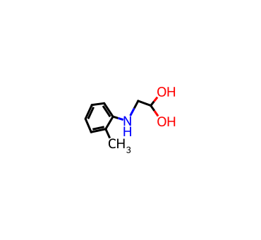 Cc1ccccc1NCC(O)O